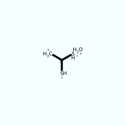 CC(S)S.O